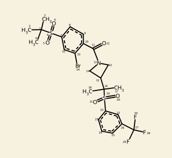 CC(C)(C)S(=O)(=O)c1ccc(C(=O)N2CC(C(C)(C)S(=O)(=O)c3cccc(C(F)(F)F)c3)C2)c(Br)c1